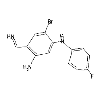 N=Cc1cc(Br)c(Nc2ccc(F)cc2)cc1N